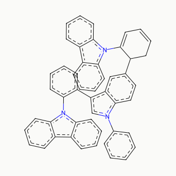 C1=CCC(c2ccc3c(c2)c(-c2ccccc2-n2c4ccccc4c4ccccc42)cn3-c2ccccc2)C(n2c3ccccc3c3ccccc32)=C1